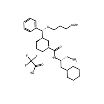 COCCCO[C@@H](c1ccccc1)[C@@H]1CCCN(C(=O)N[C@H](CN)CC2CCCCC2)C1.O=C(O)C(F)(F)F